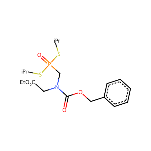 CCOC(=O)CN(CP(=O)(SC(C)C)SC(C)C)C(=O)OCc1ccccc1